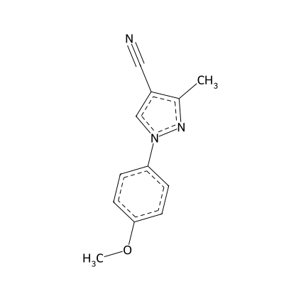 COc1ccc(-n2cc(C#N)c(C)n2)cc1